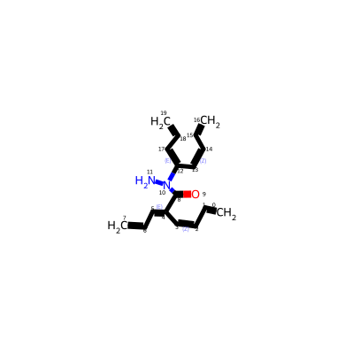 C=C/C=C\C(=C/C=C)C(=O)N(N)C(/C=C\C=C)=C/C=C